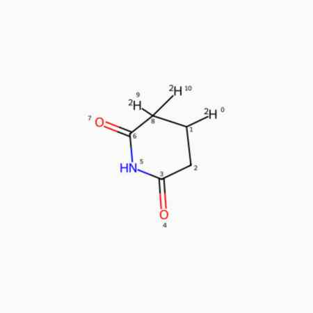 [2H]C1CC(=O)NC(=O)C1([2H])[2H]